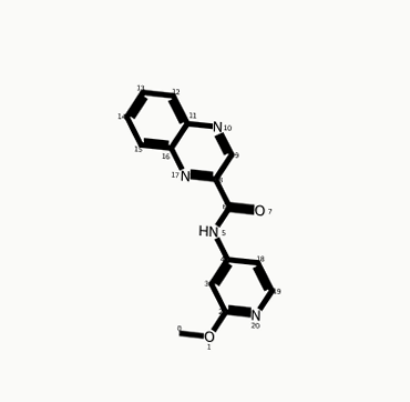 COc1cc(NC(=O)c2cnc3ccccc3n2)ccn1